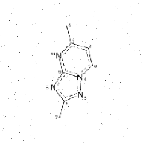 Cc1ccn2nc(C)nc2n1